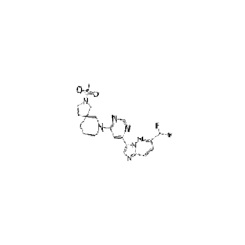 CS(=O)(=O)N1CCC2(CCCN(c3cc(-c4cnc5ccc(C(F)F)nn45)ncn3)C2)C1